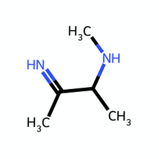 CNC(C)C(C)=N